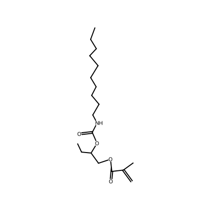 C=C(C)C(=O)OCC(CC)OC(=O)NCCCCCCCCCC